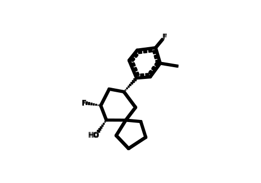 Cc1cc([C@H]2C[C@@H](F)[C@@H](O)C3(CCCC3)C2)ccc1F